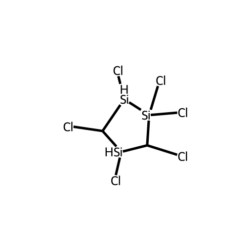 ClC1[SiH](Cl)C(Cl)[Si](Cl)(Cl)[SiH]1Cl